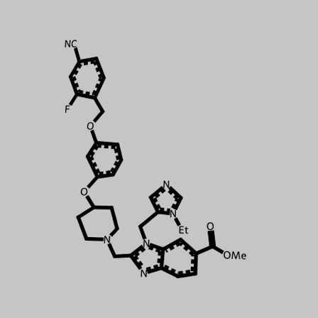 CCn1cncc1Cn1c(CN2CCC(Oc3cccc(OCc4ccc(C#N)cc4F)c3)CC2)nc2ccc(C(=O)OC)cc21